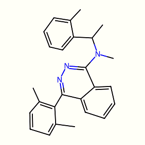 Cc1ccccc1C(C)N(C)c1nnc(-c2c(C)cccc2C)c2ccccc12